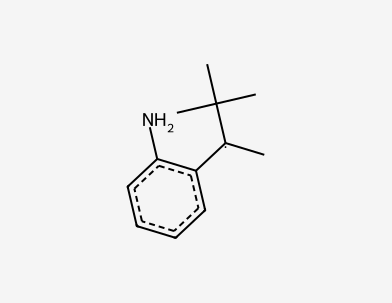 C[C](c1ccccc1N)C(C)(C)C